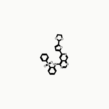 O=S(=O)(c1ccccc1)c1ccccc1Nc1ncnc2cnc(-c3ccc(C4OCCO4)o3)cc12